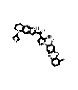 Cc1cc(Oc2c(F)cccc2F)ncc1-n1ncc(C(=O)c2cc3cc4c(cc3[nH]2)CCCN4C2COC2)c1N